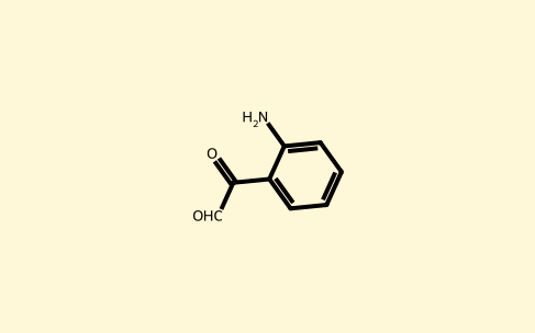 Nc1ccccc1C(=O)C=O